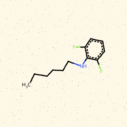 CCCCCCNc1c(F)cccc1F